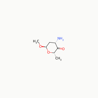 CO[C@H]1C[C@H](N)C(=O)[C@H](C)O1